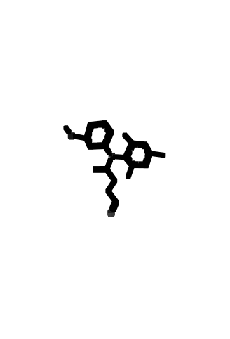 C=C(CCC=O)N(c1cccc(OC)c1)c1c(C)cc(C)cc1C